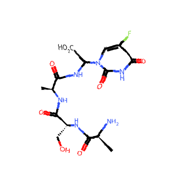 C[C@H](N)C(=O)N[C@H](CO)C(=O)N[C@@H](C)C(=O)NC(C(=O)O)n1cc(F)c(=O)[nH]c1=O